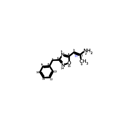 C/C(N)=C\c1nc(Cc2ccccc2)no1